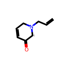 C=CCN1[C]C(=O)C=CC1